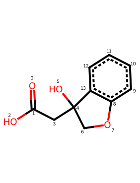 O=C(O)CC1(O)COc2ccccc21